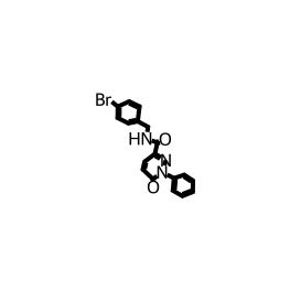 O=C(NCc1ccc(Br)cc1)c1ccc(=O)n(-c2ccccc2)n1